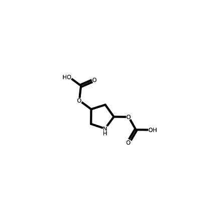 O=C(O)OC1CNC(OC(=O)O)C1